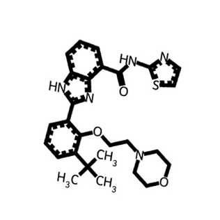 CC(C)(C)c1cccc(-c2nc3c(C(=O)Nc4nccs4)cccc3[nH]2)c1OCCN1CCOCC1